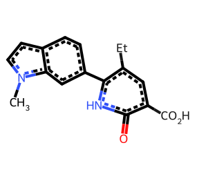 CCc1cc(C(=O)O)c(=O)[nH]c1-c1ccc2ccn(C)c2c1